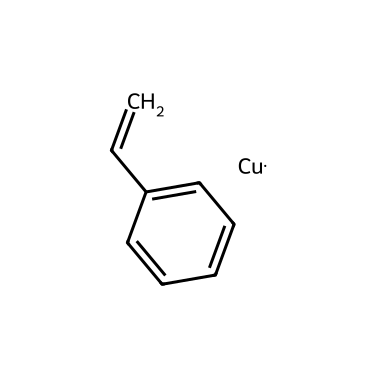 C=Cc1ccccc1.[Cu]